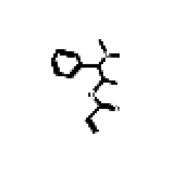 C=CC(=O)OC(C)C(c1ccccc1)N(C)C